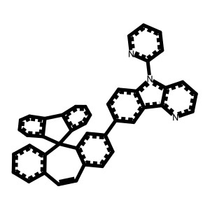 C1=Cc2ccc(-c3ccc4c(c3)c3ncccc3n4-c3ccccn3)cc2C2(c3ccccc31)c1ccccc1-c1ccccc12